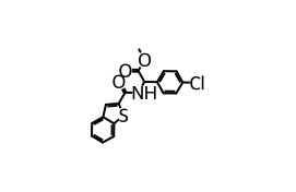 COC(=O)C(NC(=O)c1cc2ccccc2s1)c1ccc(Cl)cc1